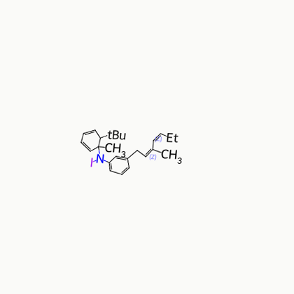 CC/C=C\C(C)=C/Cc1cccc(N(I)C2(C)C=CC=CC2C(C)(C)C)c1